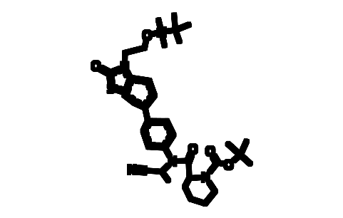 CC(C#N)N(C(=O)C1CCCCN1C(=O)OC(C)(C)C)c1ccc(-c2ccc3c(c2)sc(=O)n3CCO[Si](C)(C)C(C)(C)C)cc1